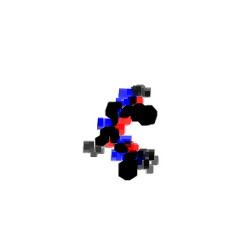 C=CCCC(NC(=O)[C@@H]1CCCN1C(=O)[C@@H](NC(=O)NC(C)(C)C)C1Cc2ccccc2C1)C(=O)C(=O)NCC(=O)N[C@H](C(=O)N(C)C)c1ccccc1